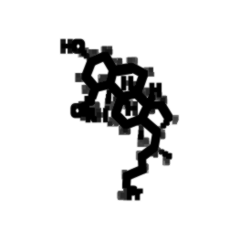 CC(C)CCC[C@@H](C)[C@H]1CC[C@H]2[C@@H]3CC=C4C[C@@H](O)CC(p5[nH]o5)[C@]4(C)[C@H]3CC[C@]12C